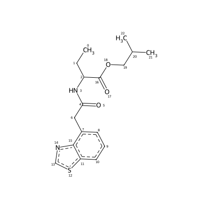 CCC(NC(=O)Cc1cccc2scnc12)C(=O)OCC(C)C